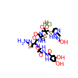 CC(C)(ON=C(C(=O)NC1C(=O)N2CC(CSC3=CC=NC4=CN(CO)NN43)(C(=O)O)CS[C@H]12)c1csc(N)n1)C(=O)NNC(=O)c1ccc(O)c(O)c1.Cl